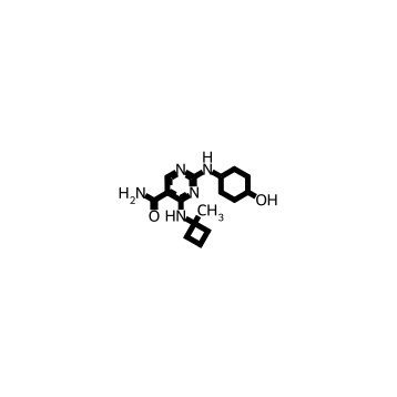 CC1(Nc2nc(NC3CCC(O)CC3)ncc2C(N)=O)CCC1